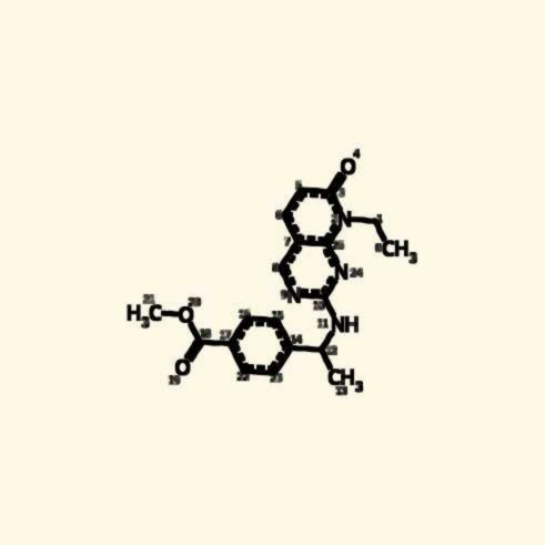 CCn1c(=O)ccc2cnc(NC(C)c3ccc(C(=O)OC)cc3)nc21